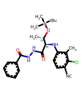 [C-]#[N+]c1ccc(N[C@@H](C(=O)NNC(=O)c2ccccc2)[C@H](C)O[Si](C)(C)C(C)(C)C)c(C)c1Cl